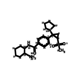 CS(=O)(=O)C1CC1(c1ccc(C(=O)NC2CCCCC2N)cc1)N1CCCC1